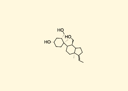 C/C=C1\CCC2[C@H](CO)C([C@@]3(C)CC[C@H](O)C[C@@H]3CO)CC[C@]12C